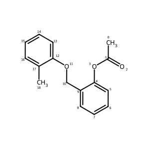 CC(=O)Oc1ccccc1COc1ccccc1C